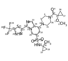 COC1(C(=O)N2CCN(c3cc(S(=O)(=O)NC4(C)CC4)cn4c(-c5nnc(C(F)(F)F)s5)ncc34)CC2)CC1